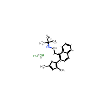 CC1=CC(C)=C(c2ccc3ccccc3c2[CH2][Ti][NH]C(C)(C)C)C1.Cl.Cl